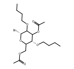 CCCCOC1C(OC(C)=O)[C@H](OCCCC)C(COC(C)=O)O[C@@H]1Br